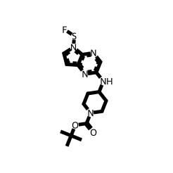 CC(C)(C)OC(=O)N1CCC(Nc2cnc3c(ccn3SF)n2)CC1